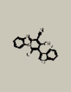 Cc1c(-c2coc3ccccc23)c(Cl)n2c(nc3ccccc32)c1C#N